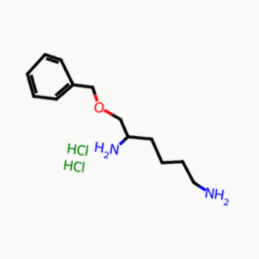 Cl.Cl.NCCCCC(N)COCc1ccccc1